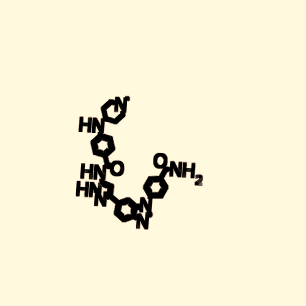 CN1CCC(Nc2ccc(C(=O)Nc3cc(-c4ccc5ncn(-c6ccc(C(N)=O)cc6)c5c4)n[nH]3)cc2)CC1